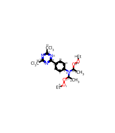 CCOOC(C)N(c1ccc(-c2nc(C(Cl)(Cl)Cl)nc(C(Cl)(Cl)Cl)n2)cc1)C(C)OOCC